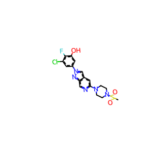 CS(=O)(=O)N1CCN(c2cc3cn(-c4cc(O)c(F)c(Cl)c4)nc3cn2)CC1